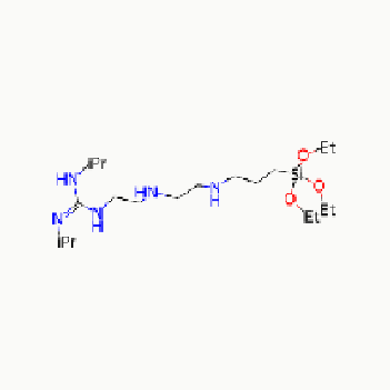 CCO[Si](CCCNCCNCCN/C(=N\C(C)C)NC(C)C)(OCC)OCC